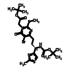 CSc1nc(CC[C@H](NC(=O)OC(C)(C)C)c2csc(C)n2)c(Br)c(=O)n1CC(=O)OC(C)(C)C